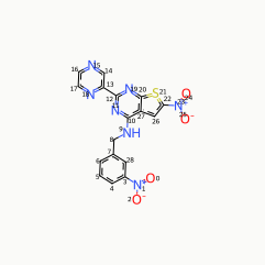 O=[N+]([O-])c1cccc(CNc2nc(-c3cnccn3)nc3sc([N+](=O)[O-])cc23)c1